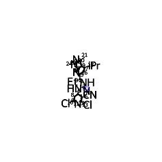 CCC(N/C(=N/C#N)Nc1cc(Cl)nc(Cl)c1)c1cc(C(C)C)c2c(C)nn(C)c2n1